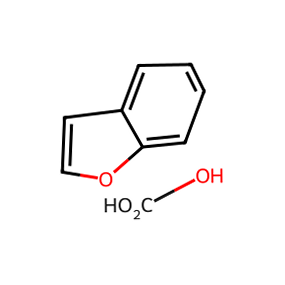 O=C(O)O.c1ccc2occc2c1